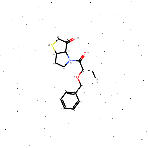 CC(C)C[C@H](OCc1ccccc1)C(=O)N1CCC2SCC(=O)C21